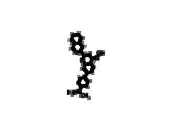 CN(C)c1ccc(-c2ccc3/c(=N/O)cc(-c4cc5ccccc5cn4)oc3c2)cc1